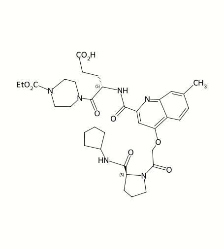 CCOC(=O)N1CCN(C(=O)[C@H](CCC(=O)O)NC(=O)c2cc(OCC(=O)N3CCC[C@H]3C(=O)NC3CCCC3)c3ccc(C)cc3n2)CC1